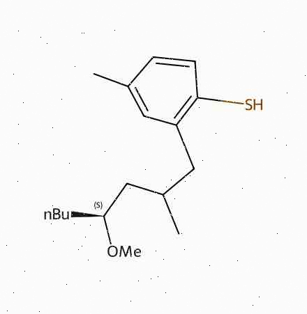 CCCC[C@@H](CC(C)Cc1cc(C)ccc1S)OC